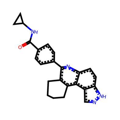 O=C(NC1CC1)c1ccc(-c2nc3ccc4[nH]ncc4c3c3c2CCCC3)cc1